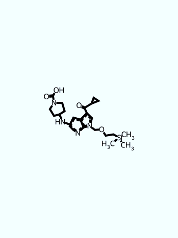 C[Si](C)(C)CCOCn1cc(C(=O)C2CC2)c2cc(NC3CCN(C(=O)O)CC3)cnc21